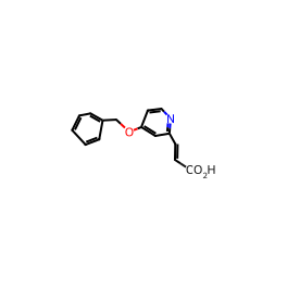 O=C(O)C=Cc1cc(OCc2ccccc2)ccn1